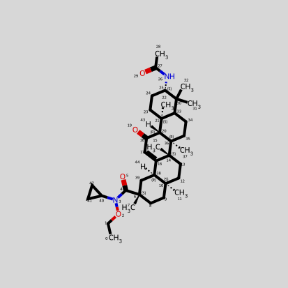 CCON(C(=O)[C@@]1(C)CC[C@]2(C)CC[C@]3(C)C(=CC(=O)[C@@H]4[C@@]5(C)CC[C@H](NC(C)=O)C(C)(C)C5CC[C@]43C)[C@@H]2C1)C1CC1